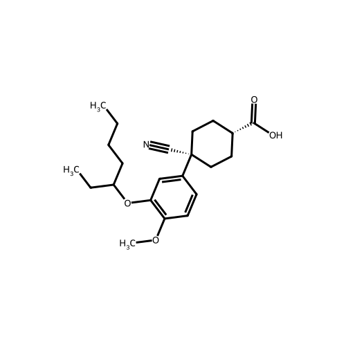 CCCCC(CC)Oc1cc([C@]2(C#N)CC[C@@H](C(=O)O)CC2)ccc1OC